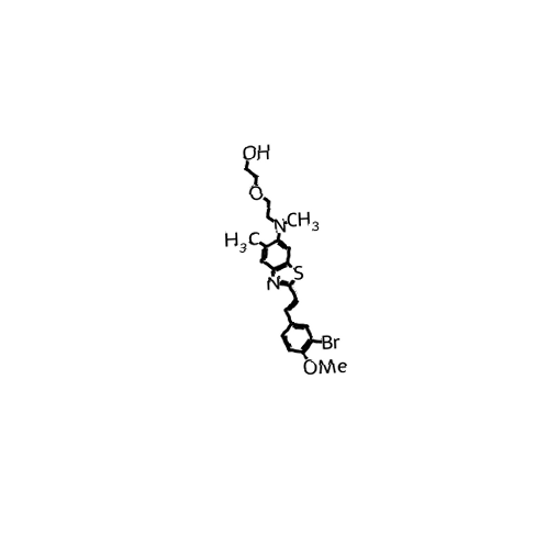 COc1ccc(C=Cc2nc3cc(C)c(N(C)CCOCCO)cc3s2)cc1Br